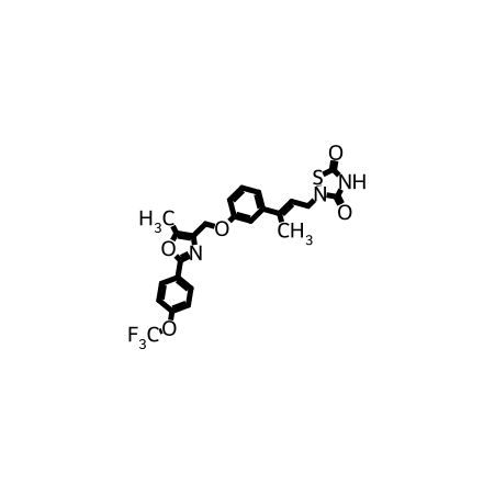 CC(=CCn1sc(=O)[nH]c1=O)c1cccc(OCc2nc(-c3ccc(OC(F)(F)F)cc3)oc2C)c1